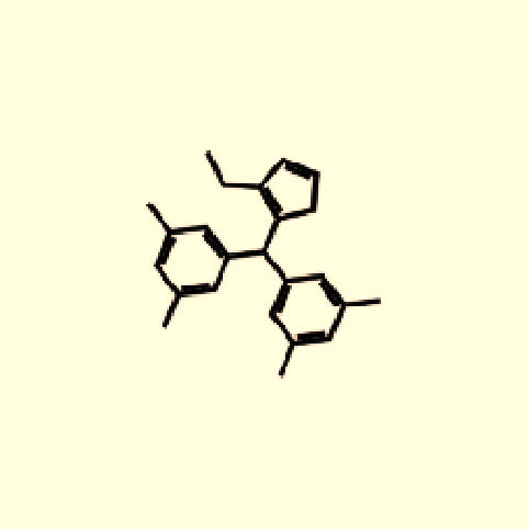 CCC1=C(C(c2cc(C)cc(C)c2)c2cc(C)cc(C)c2)CC=C1